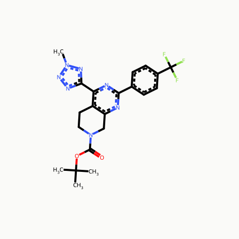 Cn1nnc(-c2nc(-c3ccc(C(F)(F)F)cc3)nc3c2CCN(C(=O)OC(C)(C)C)C3)n1